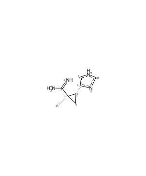 C[C@@]1(C(=N)N)C[C@H]1c1c[nH]cn1